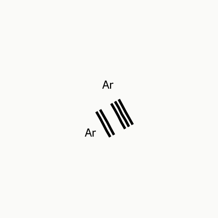 C#C.C=C.[Ar].[Ar]